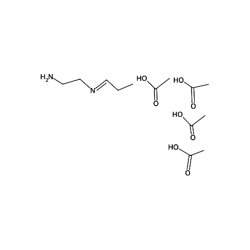 CC(=O)O.CC(=O)O.CC(=O)O.CC(=O)O.CCC=NCCN